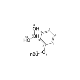 CCCCOc1ccccc1.OBO